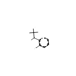 OC(c1ncccc1Br)C(F)(F)F